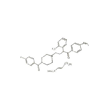 Nc1ccc(C(=O)N(CCN2CCC(C(=O)c3ccc(F)cc3)CC2)c2ccccc2C(F)(F)F)cc1.O=C(O)C=CC(=O)O